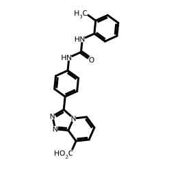 Cc1ccccc1NC(=O)Nc1ccc(-c2nnc3c(C(=O)O)cccn23)cc1